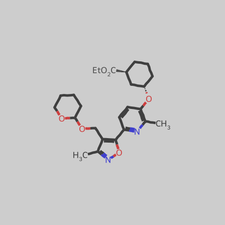 CCOC(=O)[C@H]1CCC[C@H](Oc2ccc(-c3onc(C)c3COC3CCCCO3)nc2C)C1